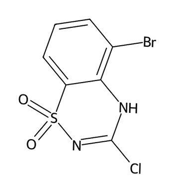 O=S1(=O)N=C(Cl)Nc2c(Br)cccc21